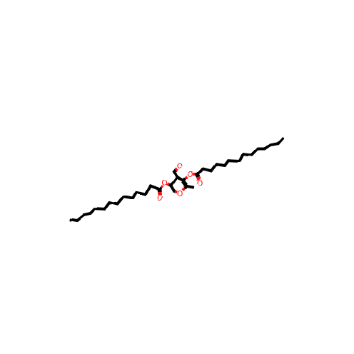 CCCCCCCCCCCCCC(=O)OC1=C(C)OCC(OC(=O)CCCCCCCCCCCCC)C1C=O